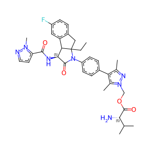 CCC12Cc3ccc(F)cc3C1[C@H](NC(=O)c1ccnn1C)C(=O)N2c1ccc(-c2c(C)nn(COC(=O)[C@@H](N)C(C)C)c2C)cc1